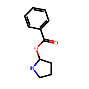 O=C(OC1CCCN1)c1ccccc1